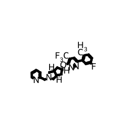 [2H]C1(Oc2nnc(-c3cc(F)ccc3C)cc2C(F)(F)F)C[C@H]2CN(Cc3ccccn3)C[C@H]2C1